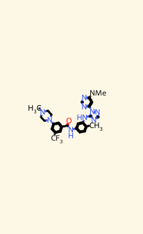 CNc1cc(-n2ncnc2Nc2cc(NC(=O)c3cc(N4CCN(C)CC4)cc(C(F)(F)F)c3)ccc2C)ncn1